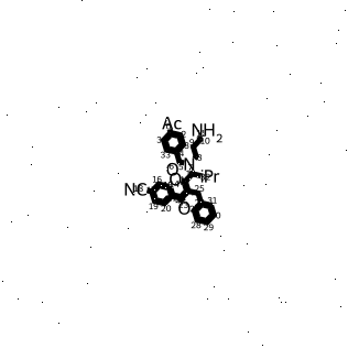 CC(=O)c1ccc(C(=O)N(CCCN)C(c2oc3cc(C#N)ccc3c(=O)c2Cc2ccccc2)C(C)C)cc1